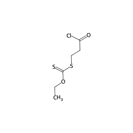 CCOC(=S)SCCC(=O)Cl